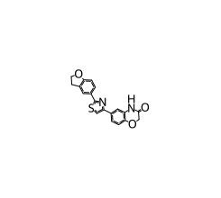 O=C1COc2ccc(-c3csc(-c4ccc5c(c4)CCO5)n3)cc2N1